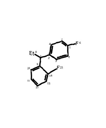 [CH2]CC(c1ccc(F)cc1)c1ccccc1F